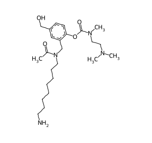 CC(=O)N(CCCCCCCCN)Cc1cc(CO)ccc1OC(=O)N(C)CCN(C)C